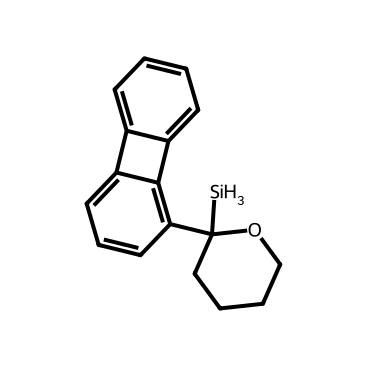 [SiH3]C1(c2cccc3c2-c2ccccc2-3)CCCCO1